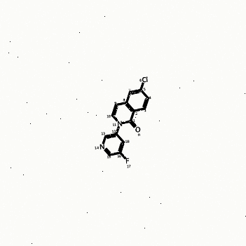 O=c1c2ccc(Cl)cc2ccn1-c1cncc(F)c1